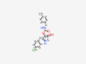 O=C(NCc1ccc(Cl)cc1)O[C@@H]1[C@@H](O)CN[C@@H]1Cc1ccc(Cl)cc1